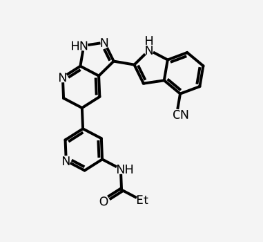 CCC(=O)Nc1cncc(C2C=c3c(-c4cc5c(C#N)cccc5[nH]4)n[nH]c3=NC2)c1